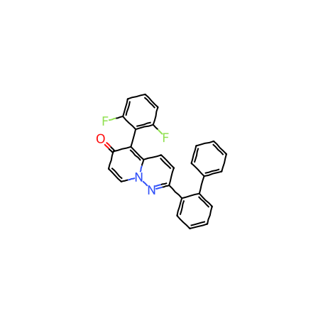 O=c1ccn2nc(-c3ccccc3-c3ccccc3)ccc2c1-c1c(F)cccc1F